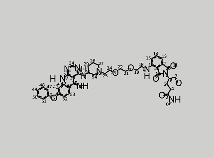 CNC(=O)CCC(C=O)N1C(=O)c2cccc(NCCOCCOCCN3CCCC(Nc4ncnc(N)c4C(=N)c4ccc(Oc5ccccc5)cc4)C3)c2C1=O